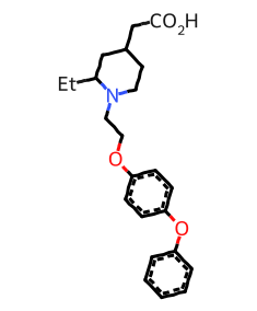 CCC1CC(CC(=O)O)CCN1CCOc1ccc(Oc2ccccc2)cc1